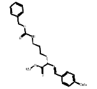 COc1ccc(/C=N/[C@@H](CCCCNC(=O)OCc2ccccc2)C(=O)OC(C)(C)C)cc1